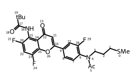 CSCCCN(C(C)=O)c1ccc(-c2cc(=O)c3c(NC(=O)C(C)(C)C)c(F)cc(F)c3o2)cc1F